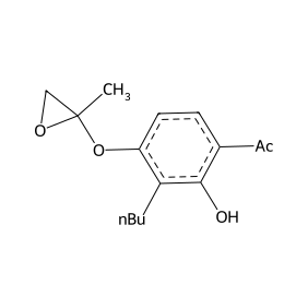 CCCCc1c(OC2(C)CO2)ccc(C(C)=O)c1O